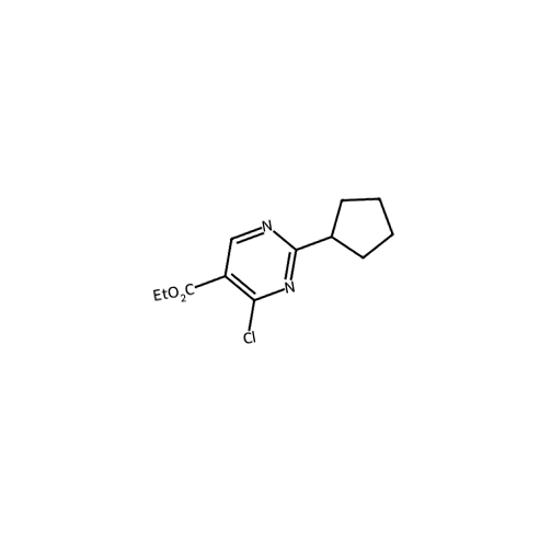 CCOC(=O)c1cnc(C2CCCC2)nc1Cl